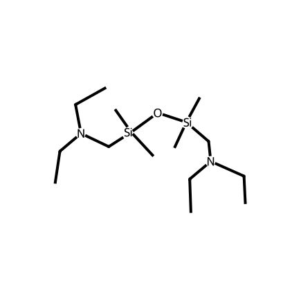 CCN(CC)C[Si](C)(C)O[Si](C)(C)CN(CC)CC